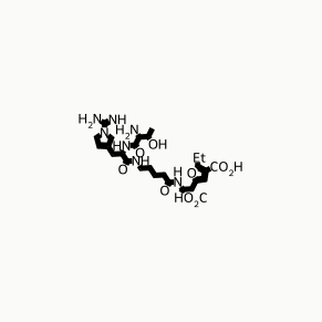 CCc1oc(CC(NC(=O)CCCCNC(=O)C(CC2=CCN(C(=N)N)C2)NC(=O)C(N)C(C)O)C(=O)O)cc1C(=O)O